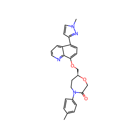 Cc1ccc(N2CC[C@@H](COc3ccc(-c4ccn(C)n4)c4cccnc34)OCC2=O)cc1